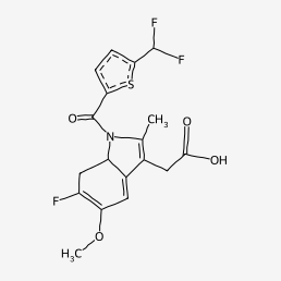 COC1=C(F)CC2C(=C1)C(CC(=O)O)=C(C)N2C(=O)c1ccc(C(F)F)s1